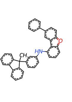 CC1(c2cccc(Nc3cccc4oc5ccc(-c6ccccc6)cc5c34)c2)c2ccccc2-c2ccccc21